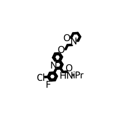 CC(C)NC(=O)Cc1cc2cc(OCCCN3CCCCC3=O)ccc2nc1-c1ccc(F)c(Cl)c1